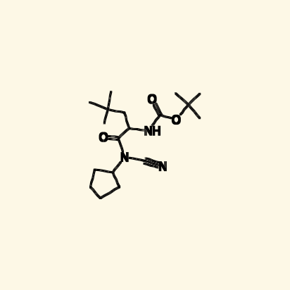 CC(C)(C)CC(NC(=O)OC(C)(C)C)C(=O)N(C#N)C1CCCC1